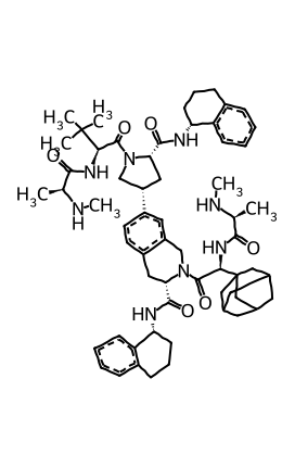 CN[C@@H](C)C(=O)N[C@H](C(=O)N1C[C@@H](c2ccc3c(c2)CN(C(=O)[C@@H](NC(=O)[C@H](C)NC)C24CC5CC(CC(C5)C2)C4)[C@H](C(=O)N[C@@H]2CCCc4ccccc42)C3)C[C@H]1C(=O)N[C@@H]1CCCc2ccccc21)C(C)(C)C